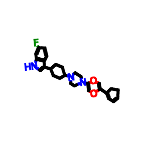 Fc1ccc2c(C3CCC(N4CCN(C5=COC(C6=CC=CCC6)=CO5)CC4)CC3)c[nH]c2c1